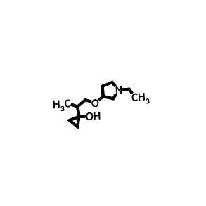 CCN1CCC(OCC(C)C2(O)CC2)C1